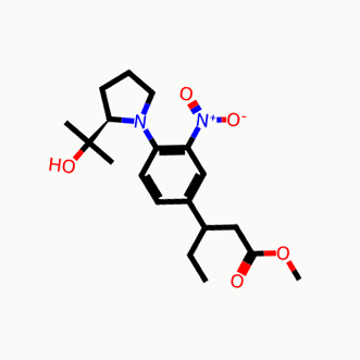 CCC(CC(=O)OC)c1ccc(N2CCC[C@@H]2C(C)(C)O)c([N+](=O)[O-])c1